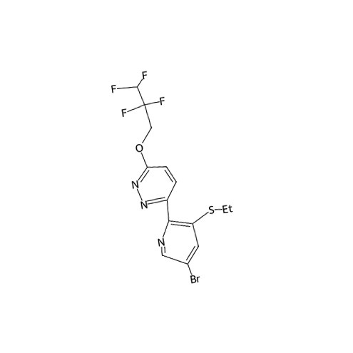 CCSc1cc(Br)cnc1-c1ccc(OCC(F)(F)C(F)F)nn1